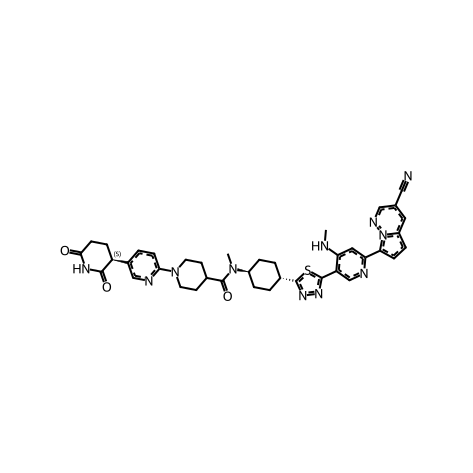 CNc1cc(-c2ccc3cc(C#N)cnn23)ncc1-c1nnc([C@H]2CC[C@H](N(C)C(=O)C3CCN(c4ccc([C@@H]5CCC(=O)NC5=O)cn4)CC3)CC2)s1